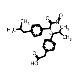 CC(C)Cc1ccc(C(C(=O)N=O)[C@@H](c2ccc(CC(=O)O)cc2)C(C)C)cc1